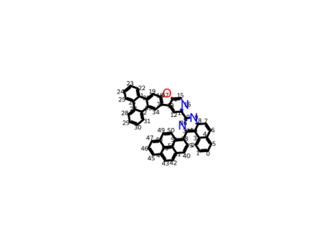 c1ccc2c(c1)ccc1nc(-c3cc4c(cn3)oc3cc5c6ccccc6c6ccccc6c5cc34)nc(-c3ccc4ccc5cccc6ccc3c4c56)c12